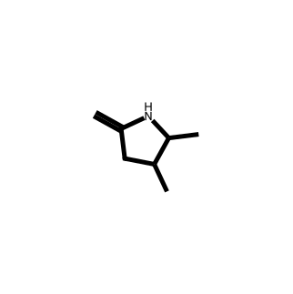 C=C1CC(C)C(C)N1